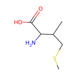 CSCC(C)C(N)C(=O)O